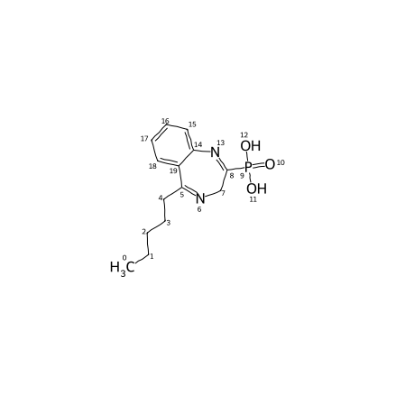 CCCCCC1=NCC(P(=O)(O)O)=Nc2ccccc21